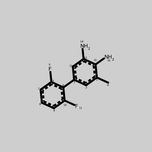 Cc1cc(-c2c(F)cccc2F)cc(N)c1N